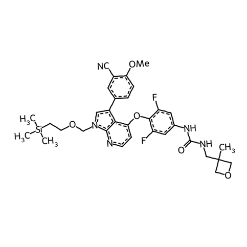 COc1ccc(-c2cn(COCC[Si](C)(C)C)c3nccc(Oc4c(F)cc(NC(=O)NCC5(C)COC5)cc4F)c23)cc1C#N